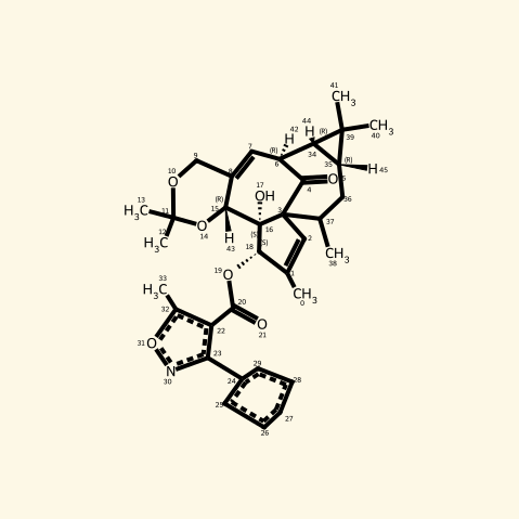 CC1=CC23C(=O)[C@@H](C=C4COC(C)(C)O[C@H]4[C@]2(O)[C@H]1OC(=O)c1c(-c2ccccc2)noc1C)[C@H]1[C@@H](CC3C)C1(C)C